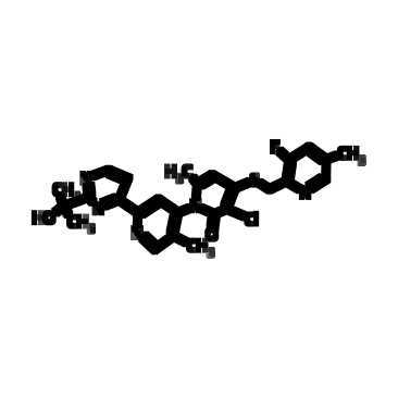 Cc1cnc(CSc2cc(C)n(-c3cc(-c4ccnc(C(C)(C)O)n4)ncc3C)c(=O)c2Cl)c(F)c1